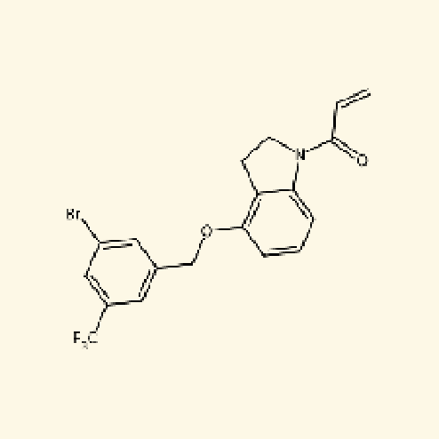 C=CC(=O)N1CCc2c(OCc3cc(Br)cc(C(F)(F)F)c3)cccc21